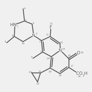 Cc1c(N2CC(C)NC(C)C2)c(F)cn2c(=O)c(C(=O)O)cc(C3CC3)c12